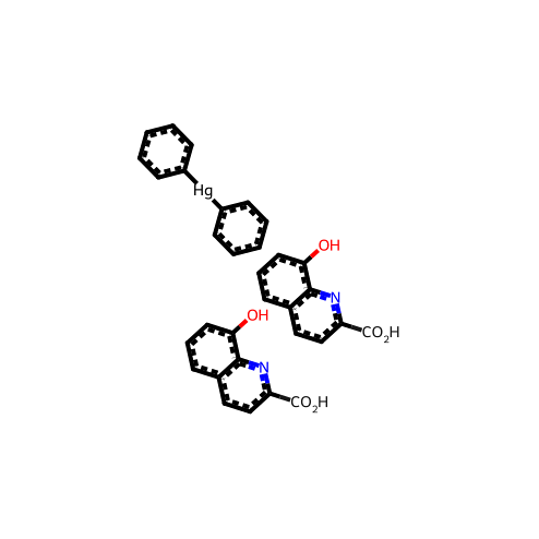 O=C(O)c1ccc2cccc(O)c2n1.O=C(O)c1ccc2cccc(O)c2n1.c1cc[c]([Hg][c]2ccccc2)cc1